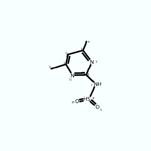 Cc1cc(C)nc(N[SH](=O)=O)n1